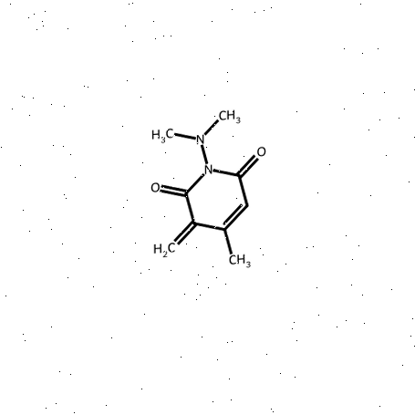 C=C1C(=O)N(N(C)C)C(=O)C=C1C